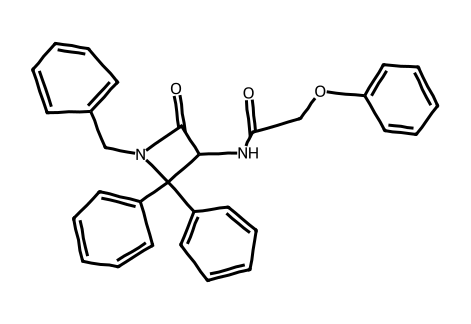 O=C(COc1ccccc1)NC1C(=O)N(Cc2ccccc2)C1(c1ccccc1)c1ccccc1